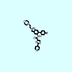 O=C(Nc1cc2cn(CCN3CCOCC3)nc2cc1-c1ccc(F)cc1)c1csc(-c2ccncc2)n1